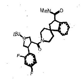 CNC(=O)C1CC2(CCN(C(=O)C3CN(C(C)(C)C)CC3c3ccc(F)cc3F)CC2)c2ccccc21